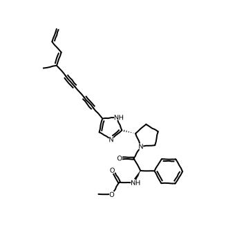 C=C/C=C(\C)C#CC#Cc1cnc([C@@H]2CCCN2C(=O)[C@H](NC(=O)OC)c2ccccc2)[nH]1